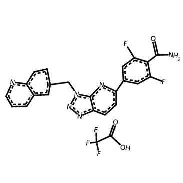 NC(=O)c1c(F)cc(-c2ccc3nnn(Cc4ccc5ncccc5c4)c3n2)cc1F.O=C(O)C(F)(F)F